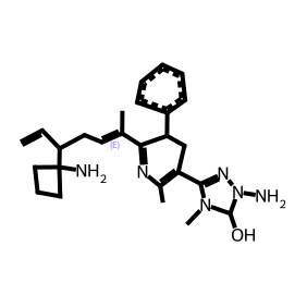 C=CC(C/C=C(\C)C1=NC(C)=C(C2=NN(N)C(O)N2C)CC1c1ccccc1)C1(N)CCC1